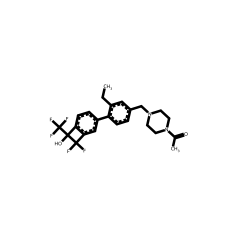 CCc1cc(CN2CCN(C(C)=O)CC2)ccc1-c1ccc2c(c1)C(F)(F)C2(O)C(F)(F)F